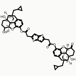 O=C(Cc1cc2sc(CC(=O)Oc3ccc4c5c3O[C@H]3C(O)CC[C@@]6(O)[C@@H](C4)N(CC4CC4)CC[C@]536)cc2s1)Oc1ccc2c3c1O[C@H]1C(=O)CC[C@@]4(O)[C@@H](C2)N(CC2CC2)CC[C@]314